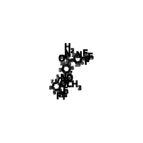 CS(=O)(=O)N(Cc1cccc(C(F)(F)F)c1)c1ccc(C(C(N)=O)c2ccc(C(F)(F)F)nc2)cc1